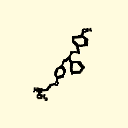 CNCCOc1ccc(C=C(CCc2ccc(O)cc2)c2ccccc2)cc1